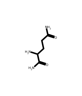 NC(=O)CCC(N)C(N)=O